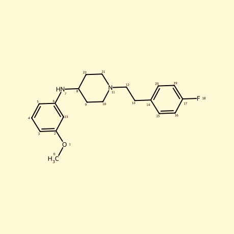 COc1cccc(NC2CCN(CCc3ccc(F)cc3)CC2)c1